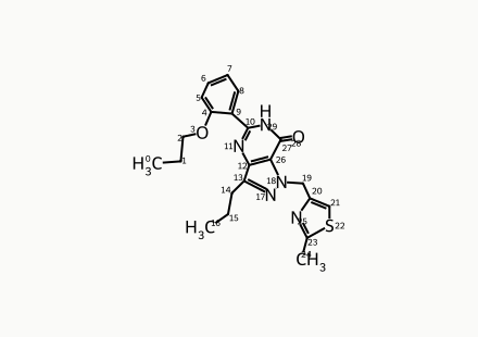 CCCOc1ccccc1-c1nc2c(CCC)nn(Cc3csc(C)n3)c2c(=O)[nH]1